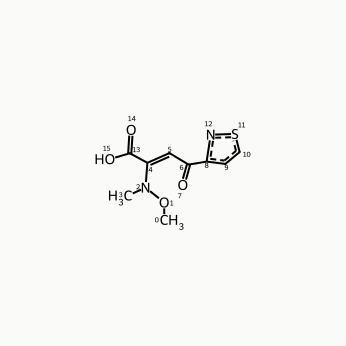 CON(C)C(=CC(=O)c1ccsn1)C(=O)O